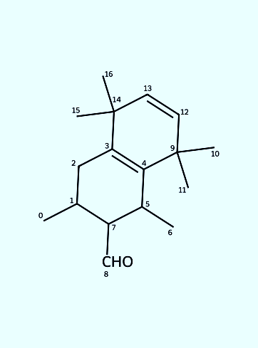 CC1CC2=C(C(C)C1C=O)C(C)(C)C=CC2(C)C